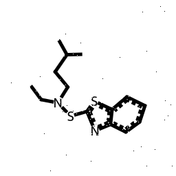 CCN(CCC(C)C)Sc1nc2ccccc2s1